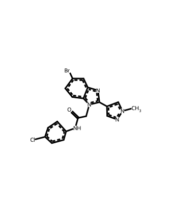 Cn1cc(-c2nc3cc(Br)ccc3n2CC(=O)Nc2ccc(Cl)cc2)cn1